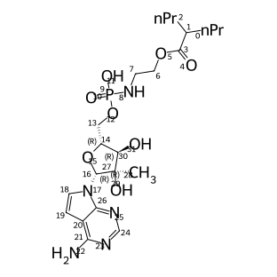 CCCC(CCC)C(=O)OCCNP(=O)(O)OC[C@H]1O[C@@H](n2ccc3c(N)ncnc32)[C@](C)(O)[C@@H]1O